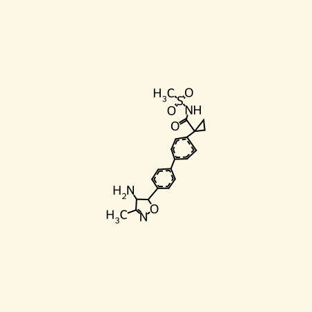 CC1=NOC(c2ccc(-c3ccc(C4(C(=O)NS(C)(=O)=O)CC4)cc3)cc2)C1N